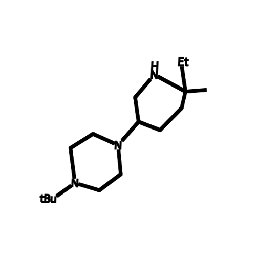 CCC1(C)CCC(N2CCN(C(C)(C)C)CC2)CN1